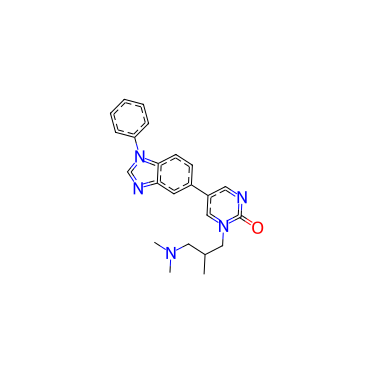 CC(CN(C)C)Cn1cc(-c2ccc3c(c2)ncn3-c2ccccc2)cnc1=O